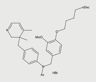 Br.CCCCCCCCCCCCCCOc1ccc(CN(C(C)=O)c2ccc(CC3(C)CN=CC=C3C)cc2)cc1OC